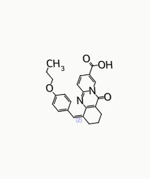 CCCOc1ccc(/C=C2/CCCc3c2nc2ccc(C(=O)O)cn2c3=O)cc1